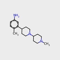 Cc1ccc(N)cc1C1CCN(C2CCN(C)CC2)CC1